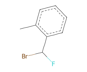 Cc1ccccc1C(F)Br